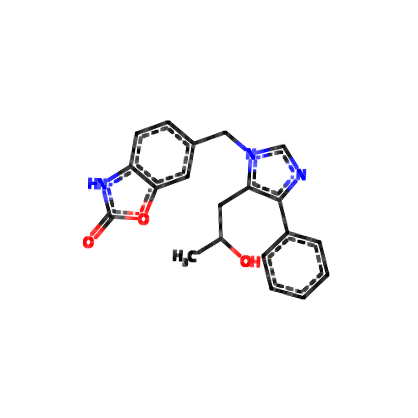 CC(O)Cc1c(-c2ccccc2)ncn1Cc1ccc2[nH]c(=O)oc2c1